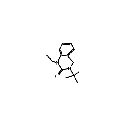 CCN1C(=O)N(C(C)(C)C)Cc2ccccc21